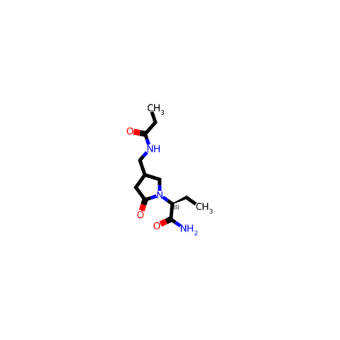 CCC(=O)NCC1CC(=O)N([C@@H](CC)C(N)=O)C1